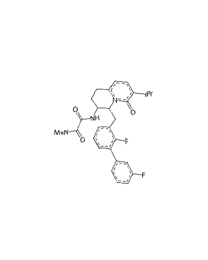 CNC(=O)C(=O)NC1CCc2ccc(C(C)C)c(=O)n2C1Cc1cccc(-c2cccc(F)c2)c1F